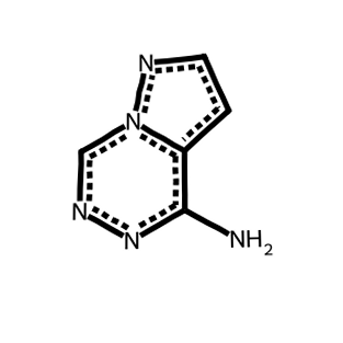 Nc1nncn2nccc12